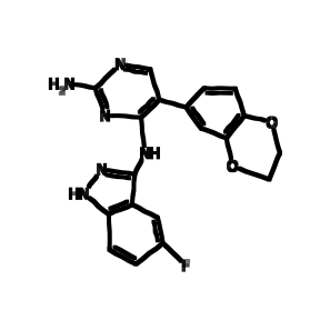 Nc1ncc(-c2ccc3c(c2)OCCO3)c(Nc2n[nH]c3ccc(F)cc23)n1